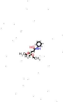 CCO[Si](C)(CCC(O)NC1CCCCC1)OCC